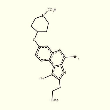 CCCn1c(CCOC)nc2c(N)nc3cc(OC4CCN(C(=O)O)CC4)ccc3c21